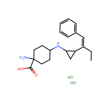 CCC(=Cc1ccccc1)C1CC1NC1CCC(N)(C(=O)O)CC1.Cl.Cl